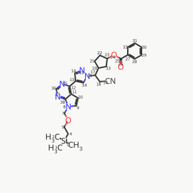 C[Si](C)(C)CCOCn1ccc2c(-c3cnn(C(CC#N)C4CCC(OC(=O)c5ccccc5)C4)c3)ncnc21